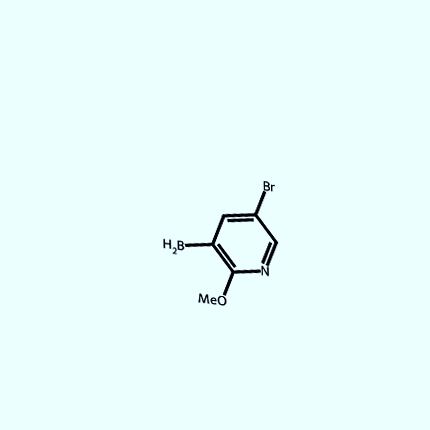 Bc1cc(Br)cnc1OC